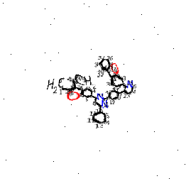 C=Cc1oc2cc(-c3cc(-c4ccccc4)nc(-c4ccc(-c5cccnc5-c5ccc6c(c5)oc5ccccc56)cc4)n3)ccc2c1C=C